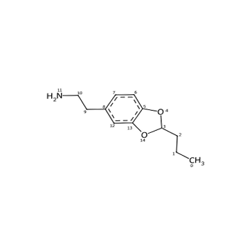 CCCC1Oc2ccc(CCN)cc2O1